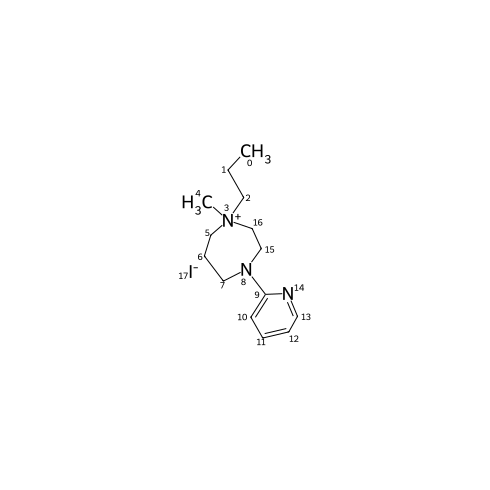 CCC[N+]1(C)CCCN(c2ccccn2)CC1.[I-]